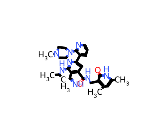 Cc1cc(C)c(CNC(=O)c2cc(-c3cccnc3N3CCN(C)CC3)nc(NC(C)C)c2C=N)c(=O)[nH]1